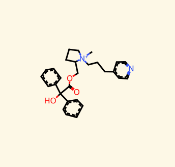 C[N+]1(CCCc2ccncc2)CCCC1COC(=O)C(O)(c1ccccc1)c1ccccc1